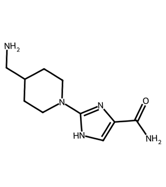 NCC1CCN(c2nc(C(N)=O)c[nH]2)CC1